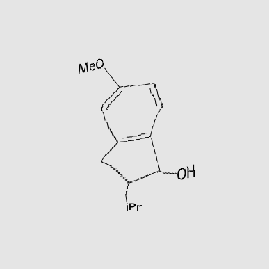 COc1ccc2c(c1)CC(C(C)C)C2O